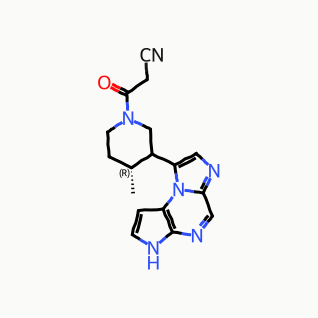 C[C@@H]1CCN(C(=O)CC#N)CC1c1cnc2cnc3[nH]ccc3n12